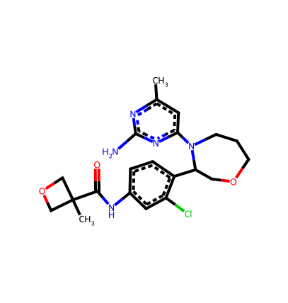 Cc1cc(N2CCCOCC2c2ccc(NC(=O)C3(C)COC3)cc2Cl)nc(N)n1